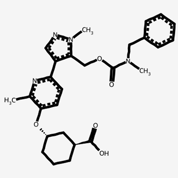 Cc1nc(-c2cnn(C)c2COC(=O)N(C)Cc2ccccc2)ccc1O[C@H]1CCC[C@H](C(=O)O)C1